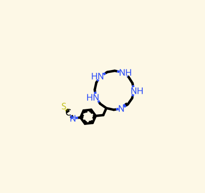 S=C=Nc1ccc(CC2CN=CCNCCNCCNCCNC2)cc1